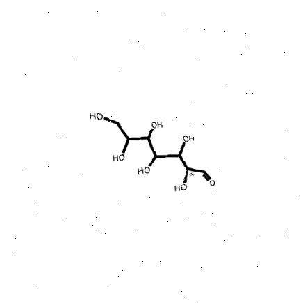 O=C[C@@H](O)C(O)C(O)C(O)C(O)CO